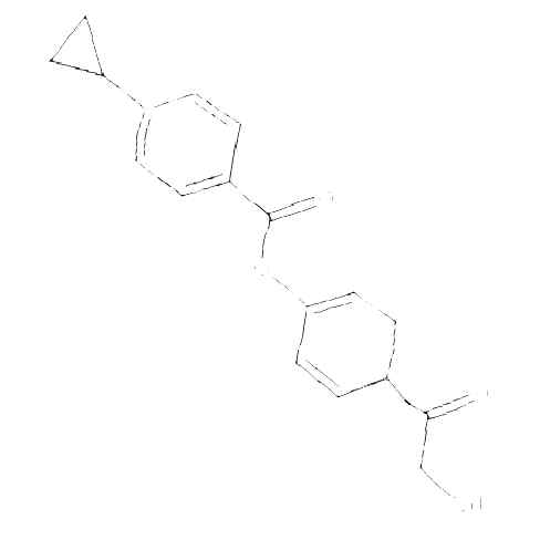 BCC(=O)C1C=CC(OC(=O)c2ccc(C3CC3)cc2)=CC1